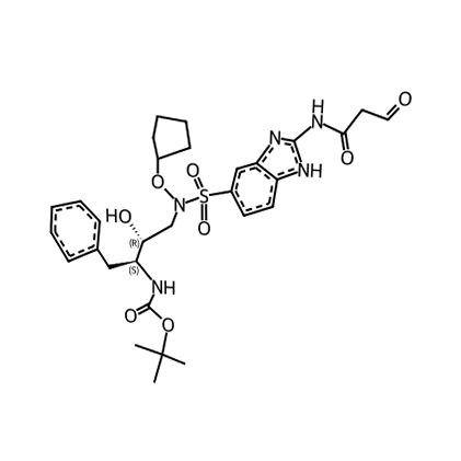 CC(C)(C)OC(=O)N[C@@H](Cc1ccccc1)[C@H](O)CN(OC1CCCC1)S(=O)(=O)c1ccc2[nH]c(NC(=O)CC=O)nc2c1